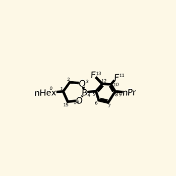 CCCCCCC1COB(c2ccc(CCC)c(F)c2F)OC1